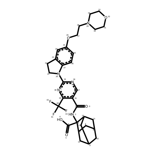 O=C(NC1(C(=O)O)C2CC3CC(C2)CC1C3)c1cnc(N2CCc3cc(OCCN4CCOCC4)ccc32)nc1C(F)(F)F